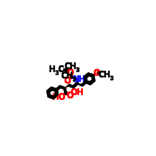 COc1ccc(C[C@H](NC(=O)OC(C)(C)C)[C@@H](O)C[C@@H](Cc2ccccc2)C(=O)O)cc1